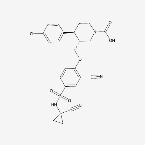 N#Cc1cc(S(=O)(=O)NC2(C#N)CC2)ccc1OC[C@H]1CN(C(=O)O)CC[C@@H]1c1ccc(Cl)cc1